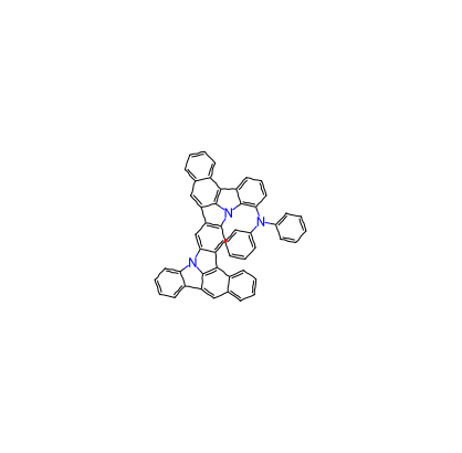 c1ccc(N(c2ccccc2)c2cccc3c4c5ccccc5cc5c6cc7c(cc6n(c23)c54)c2c3ccccc3cc3c4ccccc4n7c32)cc1